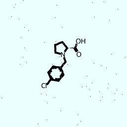 O=C(O)[C@H]1CCCN1Cc1ccc(Cl)cc1